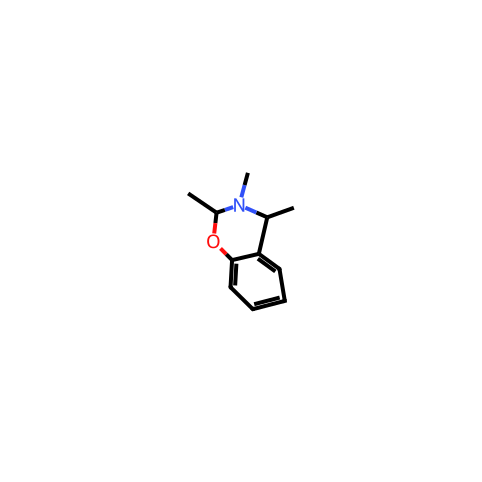 CC1Oc2ccccc2C(C)N1C